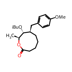 COc1ccc(C[C@H]2CCCCC(=O)O[C@@H](C)[C@@H]2OCC(C)C)cc1